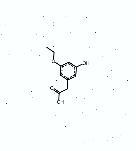 CCOc1cc(O)cc(CC(=O)O)c1